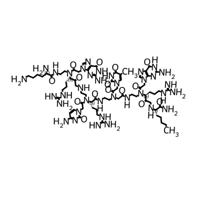 CCCCC[C@H](NCC(=O)[C@H](CCCNC(=N)N)N(CCNC(=O)CN(CCNC(=O)[C@H](CCCNC(=N)N)N(CCNCC(=O)[C@H](CCCNC(=N)N)N(CCNC(=O)[C@@H](N)CCCCN)C(=O)Cn1cnc2c(=O)[nH]c(N)nc21)C(=O)Cn1ccc(N)nc1=O)C(=O)Cn1cc(C)c(=O)[nH]c1=O)C(=O)Cn1cnc2c(=O)[nH]c(N)nc21)C(N)=O